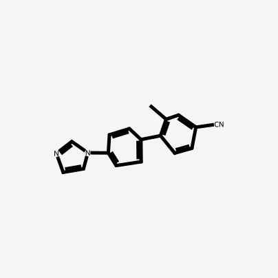 Cc1cc(C#N)ccc1-c1ccc(-n2ccnc2)cc1